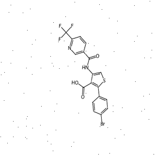 O=C(Nc1csc(-c2ccc(Br)cc2)c1C(=O)O)c1ccc(C(F)(F)F)nc1